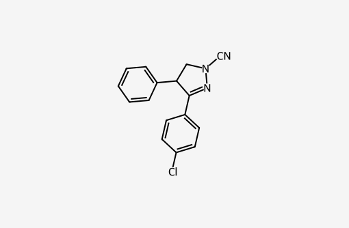 N#CN1CC(c2ccccc2)C(c2ccc(Cl)cc2)=N1